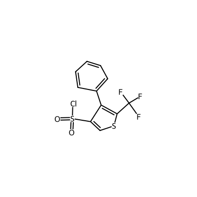 O=S(=O)(Cl)c1csc(C(F)(F)F)c1-c1ccccc1